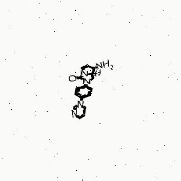 N[C@@H]1CCN2C(=O)N(c3ccc(N4C=NCCC4)cc3)C[C@H]12